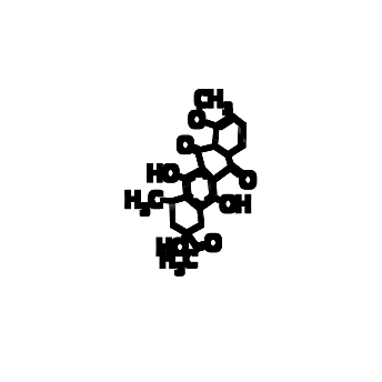 COC1=CC=CC2C(=O)c3c(O)c4c(c(O)c3C(=O)C12)C(C)CC(O)(C(C)=O)C4